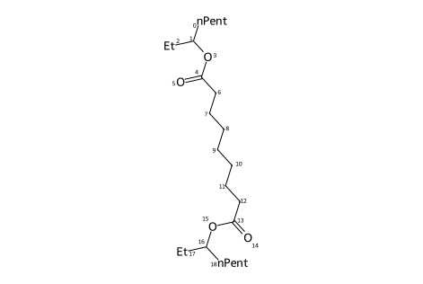 CCCCCC(CC)OC(=O)CCCCCCCC(=O)OC(CC)CCCCC